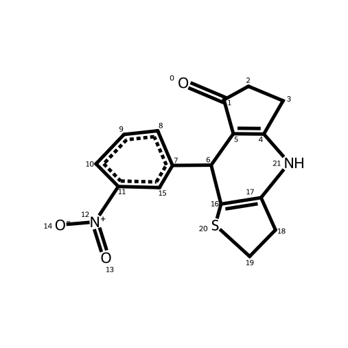 O=C1CCC2=C1C(c1cccc([N+](=O)[O-])c1)C1=C(CCS1)N2